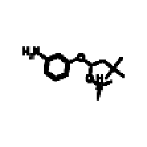 C[SiH](C)OC(CC(C)(C)C)Oc1cccc(N)c1